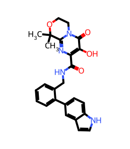 CC1(C)OCCn2c1nc(C(=O)NCc1ccccc1-c1ccc3[nH]ccc3c1)c(O)c2=O